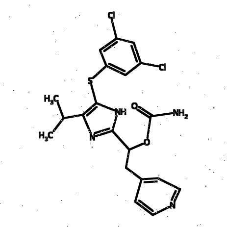 CC(C)c1nc(C(Cc2ccncc2)OC(N)=O)[nH]c1Sc1cc(Cl)cc(Cl)c1